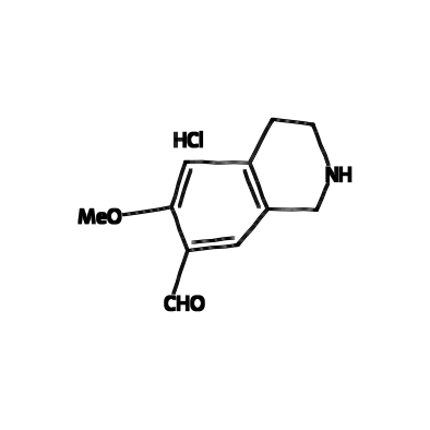 COc1cc2c(cc1C=O)CNCC2.Cl